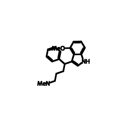 CNCCCC(c1ccccc1)c1c[nH]c2cccc(OC)c12